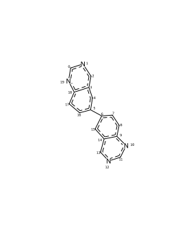 c1ncc2cc(-c3ccc4ncncc4c3)ccc2n1